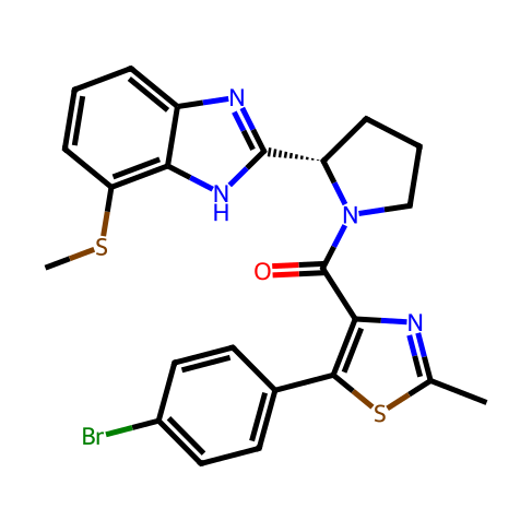 CSc1cccc2nc([C@@H]3CCCN3C(=O)c3nc(C)sc3-c3ccc(Br)cc3)[nH]c12